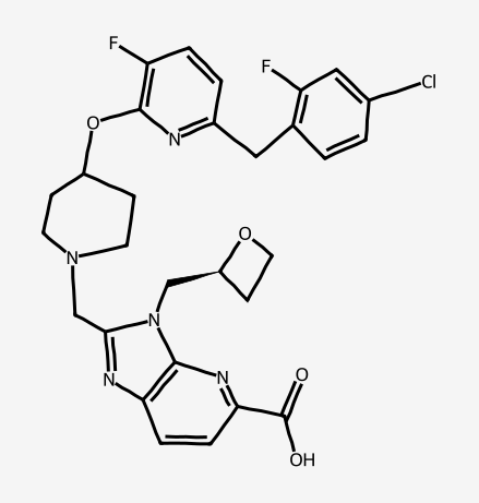 O=C(O)c1ccc2nc(CN3CCC(Oc4nc(Cc5ccc(Cl)cc5F)ccc4F)CC3)n(C[C@@H]3CCO3)c2n1